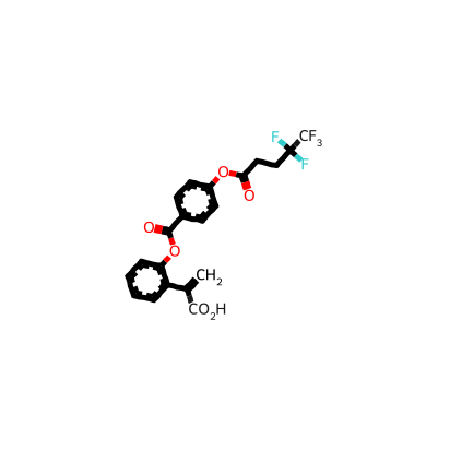 C=C(C(=O)O)c1ccccc1OC(=O)c1ccc(OC(=O)CCC(F)(F)C(F)(F)F)cc1